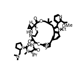 CCn1c(-c2cccnc2[C@H](C)OC)c2c3cc(ccc31)-c1csc(n1)C[C@H](NC(=O)[C@H](C(C)C)N(C)C(=O)N1CCCC1CN(C)C)C(=O)N1CCC[C@@H](C(=O)OCC(C)(C)C2)C2(CC2)N1